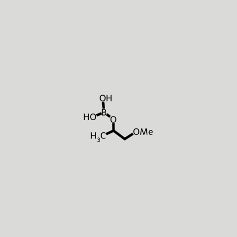 COCC(C)OB(O)O